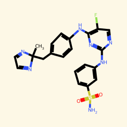 CC1(Cc2ccc(Nc3nc(Nc4cccc(S(N)(=O)=O)c4)ncc3F)cc2)N=CC=N1